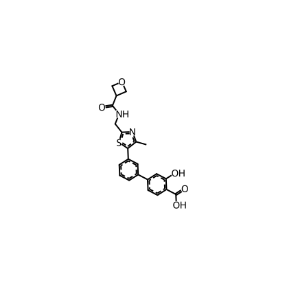 Cc1nc(CNC(=O)C2COC2)sc1-c1cccc(-c2ccc(C(=O)O)c(O)c2)c1